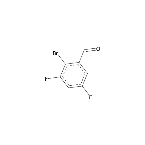 O=Cc1cc(F)cc(F)c1Br